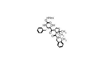 CCCCCCOC(=O)N[C@@H](Cc1ccccc1)[C@H](O)C(=O)N1CSC(C)(C)[C@H]1C(=O)NCc1ccccc1C